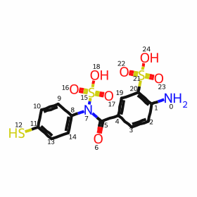 Nc1ccc(C(=O)N(c2ccc(S)cc2)S(=O)(=O)O)cc1S(=O)(=O)O